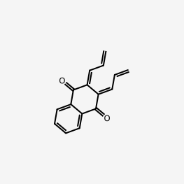 C=C/C=C1/C(=O)c2ccccc2C(=O)/C1=C/C=C